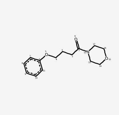 O=C(CCCOc1[c]cccc1)N1CCOCC1